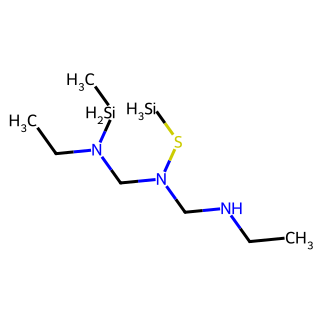 CCNCN(CN(CC)[SiH2]C)S[SiH3]